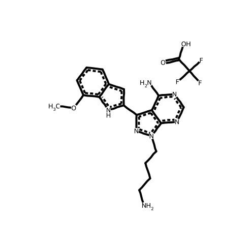 COc1cccc2cc(-c3nn(CCCCN)c4ncnc(N)c34)[nH]c12.O=C(O)C(F)(F)F